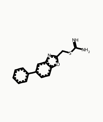 N=C(N)SCc1nc2cc(-c3ccccc3)ccc2o1